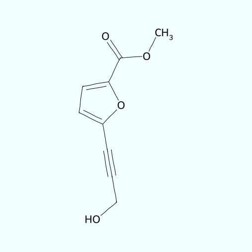 COC(=O)c1ccc(C#CCO)o1